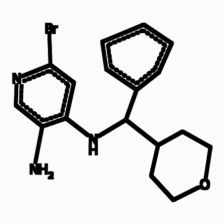 Nc1cnc(Br)cc1NC(c1ccccc1)C1CCOCC1